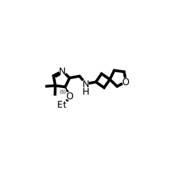 CCO[C@@H]1C(CNC2CC3(CCOC3)C2)N=CC1(C)C